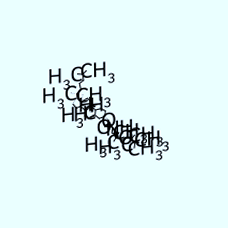 CC(C)CCC[C@@H](C)[C@H]1CC[C@H]2[C@@H]3CC=C4C[C@@H](OC(=O)NCC(C)(C)COC(C)(C)C(C)C)CC[C@]4(C)[C@H]3CC[C@]12C